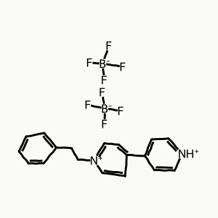 F[B-](F)(F)F.F[B-](F)(F)F.c1ccc(CC[n+]2ccc(-c3cc[nH+]cc3)cc2)cc1